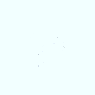 O=C(Nc1cc[nH]n1)c1cc(Oc2ccc(C(=O)N3CCC3)nc2)cc(O[C@H]2CCOC2)c1